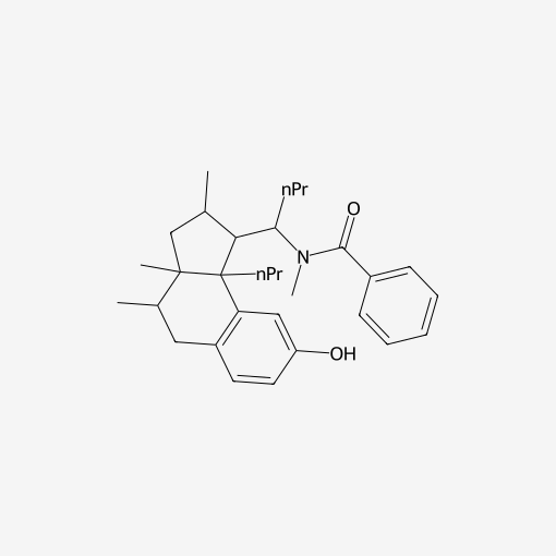 CCCC(C1C(C)CC2(C)C(C)Cc3ccc(O)cc3C12CCC)N(C)C(=O)c1ccccc1